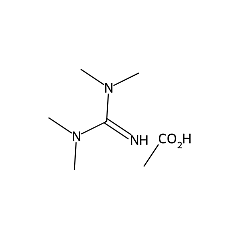 CC(=O)O.CN(C)C(=N)N(C)C